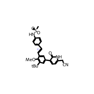 COc1c(/C=C/c2ccc(NS(C)(=O)=O)cc2)cc(-c2ccc(CC#N)[nH]c2=O)cc1C(C)(C)C